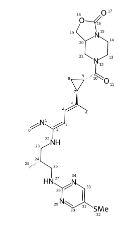 C=N/C(=C\C=C(/C)[C@H]1C[C@@H]1C(=O)N1CCN2C(=O)OCC2C1)NC[C@@H](C)CNc1ncc(SC)cn1